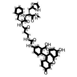 CNC(=O)[C@H](Cc1ncc[nH]1)NC(=O)[C@H](Cc1ccccc1)NC(=O)CCNC(=O)Nc1ccc(-c2c3ccc(=O)cc-3oc3cc(O)ccc23)c(C(=O)O)c1